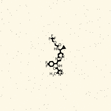 Cc1nonc1C(=O)N[C@H](c1cn2ncc(C(NC(=O)COCC(F)(F)F)C3CC3)cc2n1)C1CCC(F)(F)CC1